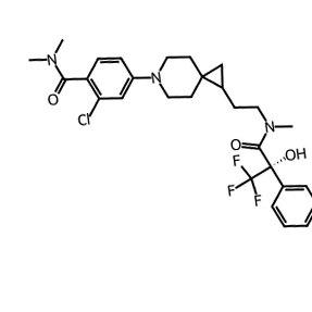 CN(C)C(=O)c1ccc(N2CCC3(CC2)CC3CCN(C)C(=O)[C@@](O)(c2ccccc2)C(F)(F)F)cc1Cl